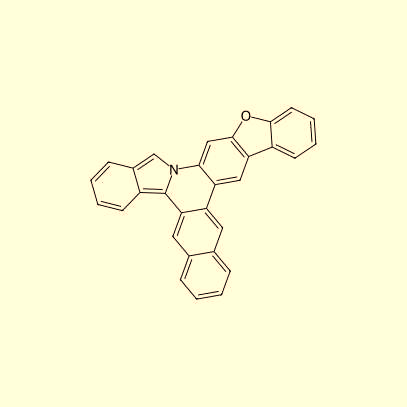 c1ccc2cc3c(cc2c1)c1cc2c(cc1n1cc4ccccc4c31)oc1ccccc12